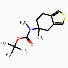 CN(C(=O)OC(C)(C)C)C1(C)CCc2cscc2C1